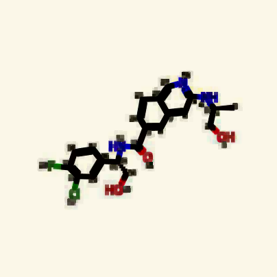 C[C@@H](CO)Nc1cc2cc(C(=O)N[C@H](CO)c3ccc(F)c(Cl)c3)ccc2cn1